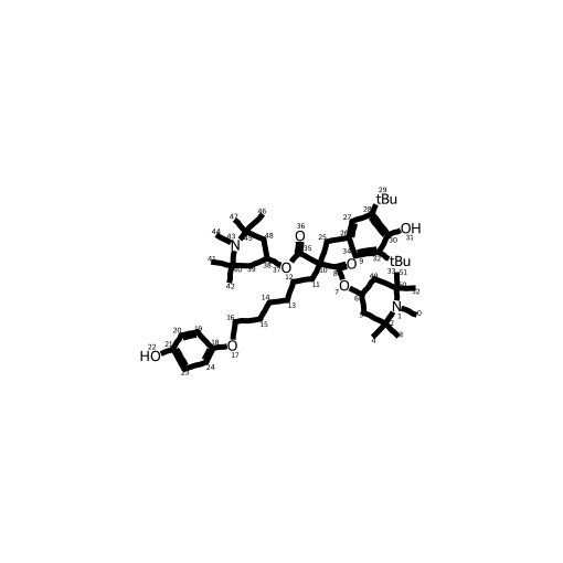 CN1C(C)(C)CC(OC(=O)C(CCCCCCOc2ccc(O)cc2)(Cc2cc(C(C)(C)C)c(O)c(C(C)(C)C)c2)C(=O)OC2CC(C)(C)N(C)C(C)(C)C2)CC1(C)C